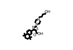 CC1(C)CCC(C)(C)c2cc(-c3nc(N4CCN(CCCCO)CC4)sc3C(=O)O)ccc21